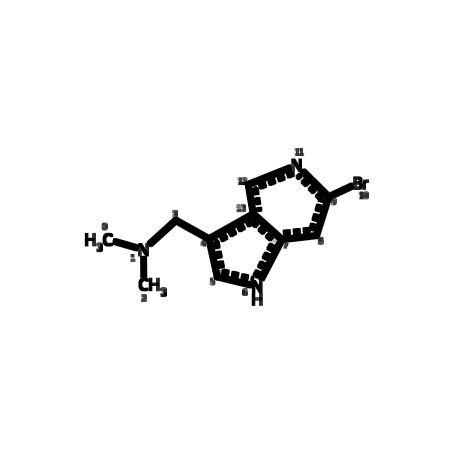 CN(C)Cc1c[nH]c2cc(Br)ncc12